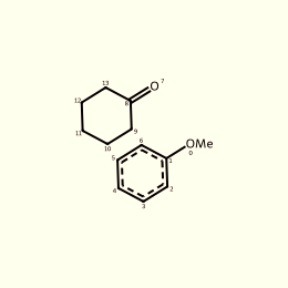 COc1ccccc1.O=C1CCCCC1